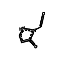 O=Cn1[nH]ccc1=O